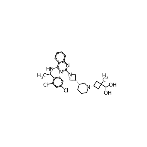 C[C@@H](Nc1nc(N2CC([C@H]3CCCN([C@H]4C[C@@](C)(C(O)O)C4)C3)C2)nc2ccccc12)c1ccc(Cl)cc1Cl